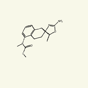 COC(=O)N(C)c1cccc2c1CCC1(C2)N=C(N)OC1C